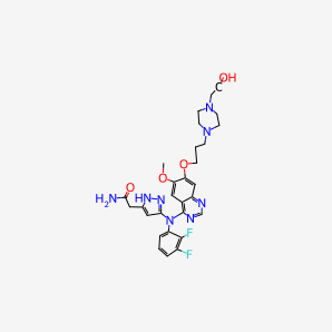 COc1cc2c(N(c3cc(CC(N)=O)[nH]n3)c3cccc(F)c3F)ncnc2cc1OCCCN1CCN(CCO)CC1